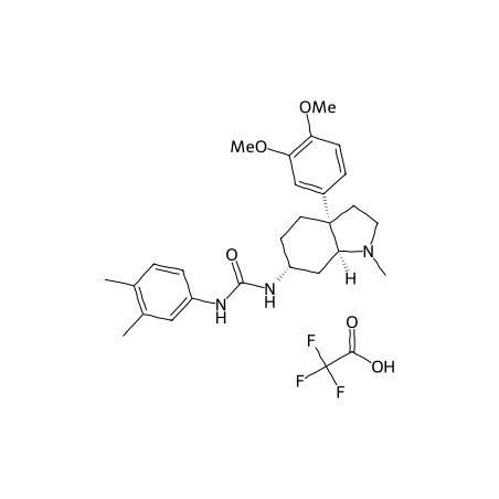 COc1ccc([C@@]23CC[C@@H](NC(=O)Nc4ccc(C)c(C)c4)C[C@@H]2N(C)CC3)cc1OC.O=C(O)C(F)(F)F